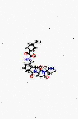 CC(C)C(N)(C(=O)O)N1C(=O)CCC(N2Cc3c(CNC(=O)C(=O)c4ccc(C(C)(C)C)cc4)cccc3C2=O)C1=O